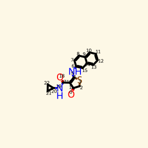 O=C1CSC(Nc2ccc3ccccc3c2)=C1C(=O)NC1CC1